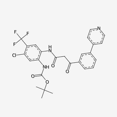 CC(C)(C)OC(=O)Nc1cc(Cl)c(C(F)(F)F)cc1NC(=O)CC(=O)c1cccc(-c2ccncc2)c1